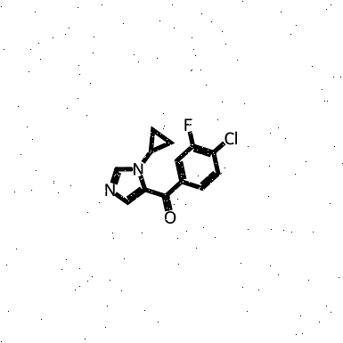 O=C(c1ccc(Cl)c(F)c1)c1cncn1C1CC1